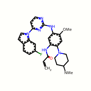 C=CC(=O)Nc1cc(Nc2nccc(-n3ccc4ccc(F)cc43)n2)c(OC)cc1N1CCC(NC)CC1